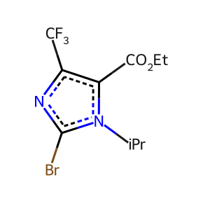 CCOC(=O)c1c(C(F)(F)F)nc(Br)n1C(C)C